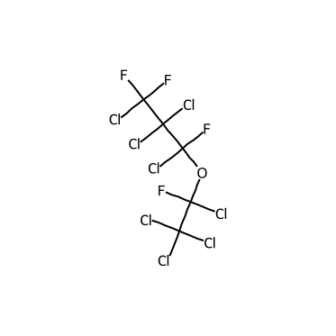 FC(F)(Cl)C(Cl)(Cl)C(F)(Cl)OC(F)(Cl)C(Cl)(Cl)Cl